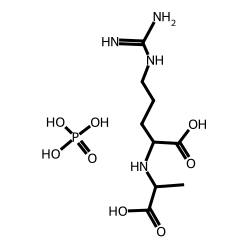 CC(NC(CCCNC(=N)N)C(=O)O)C(=O)O.O=P(O)(O)O